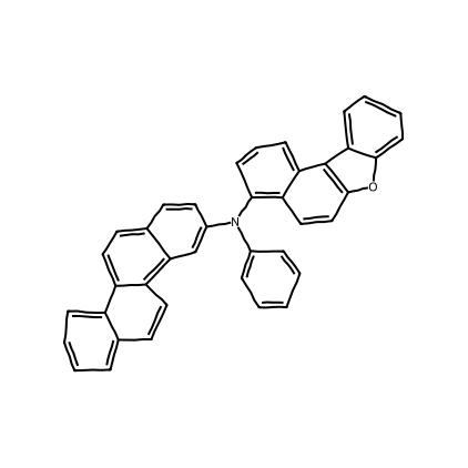 c1ccc(N(c2ccc3ccc4c5ccccc5ccc4c3c2)c2cccc3c2ccc2oc4ccccc4c23)cc1